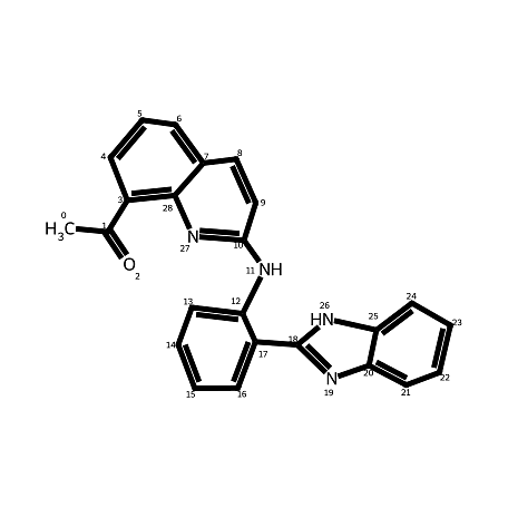 CC(=O)c1cccc2ccc(Nc3ccccc3-c3nc4ccccc4[nH]3)nc12